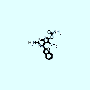 NC(=O)Oc1sc2nc(N)nc(-c3cc4ccccc4o3)c2c1N